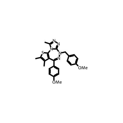 COc1ccc(CN2N=C(c3ccc(OC)cc3)c3c(sc(C)c3C)-n3c(C)nnc32)cc1